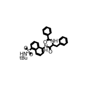 CC(C)(C)NS(=O)(=O)c1cccc2c(NC(=O)C(Cc3ccccc3)NC(=O)c3ccccc3)cccc12